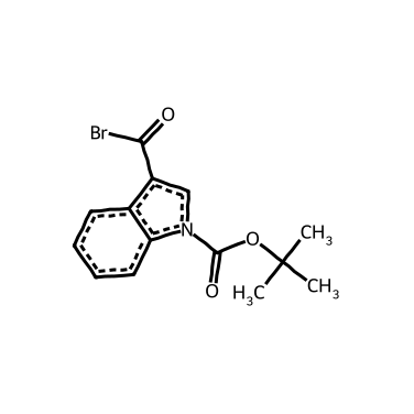 CC(C)(C)OC(=O)n1cc(C(=O)Br)c2ccccc21